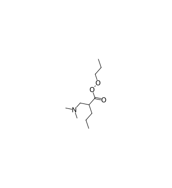 CCCOOC(=O)C(CCC)CN(C)C